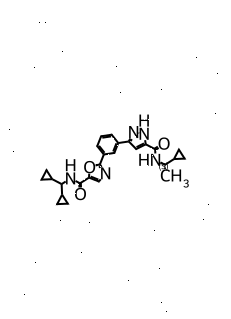 C[C@H](NC(=O)c1cc(-c2cccc(-c3ncc(C(=O)NC(C4CC4)C4CC4)o3)c2)n[nH]1)C1CC1